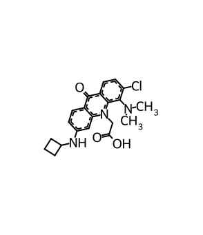 CN(C)c1c(Cl)ccc2c(=O)c3ccc(NC4CCC4)cc3n(CC(=O)O)c12